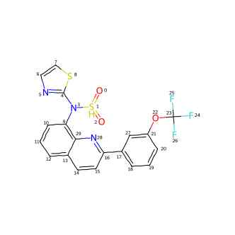 O=[SH](=O)N(c1nccs1)c1cccc2ccc(-c3cccc(OC(F)(F)F)c3)nc12